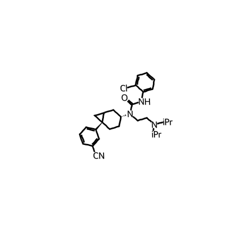 CC(C)N(CCN(C(=O)Nc1ccccc1Cl)[C@@H]1CC[C@]2(c3cccc(C#N)c3)CC2C1)C(C)C